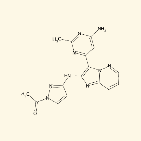 CC(=O)n1ccc(Nc2nc3cccnn3c2-c2cc(N)nc(C)n2)n1